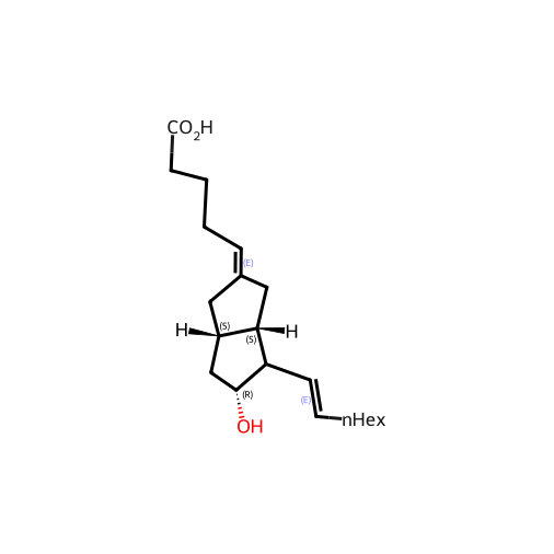 CCCCCC/C=C/C1[C@H](O)C[C@@H]2C/C(=C\CCCC(=O)O)C[C@H]12